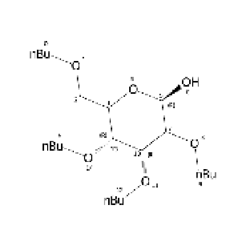 CCCCOCC1O[C@@H](O)C(OCCCC)[C@H](OCCCC)[C@@H]1OCCCC